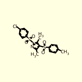 Cc1ccc(S(=O)(=O)c2c(C)nn(S(=O)(=O)c3ccc(Cl)cc3)c2C)cc1